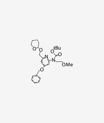 COCCN(C(=O)OC(C)(C)C)c1cc(OCc2ccccc2)cc(COC2CCCCO2)n1